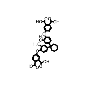 Cc1cc(C2(c3ccc(Oc4ccc(C(=O)O)c(C(=O)O)c4)c(C)c3)CCCCC2)ccc1Oc1ccc(C(=O)O)c(C(=O)O)c1